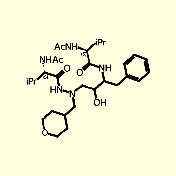 CC(=O)N[C@H](C(=O)NC(Cc1ccccc1)C(O)CN(CC1CCOCC1)NC(=O)[C@@H](NC(C)=O)C(C)C)C(C)C